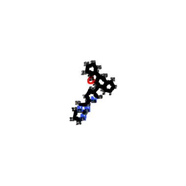 c1ccc2c(-c3ccc(-c4cn5cccnc5n4)nc3)c3oc4ccccc4c3cc2c1